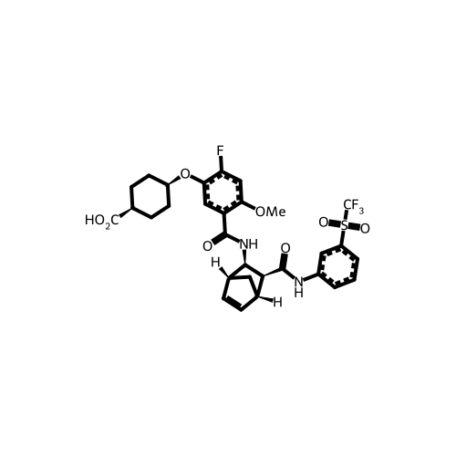 COc1cc(F)c(O[C@H]2CC[C@@H](C(=O)O)CC2)cc1C(=O)N[C@H]1[C@@H](C(=O)Nc2cccc(S(=O)(=O)C(F)(F)F)c2)[C@@H]2C=C[C@H]1C2